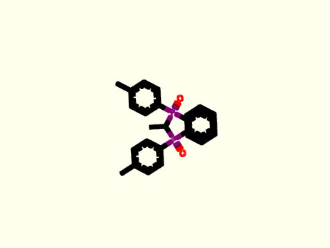 Cc1ccc(P(=O)(c2ccccc2)C(C)P(=O)(c2ccccc2)c2ccc(C)cc2)cc1